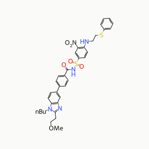 CCCCn1c(CCOC)nc2cc(-c3ccc(C(=O)NS(=O)(=O)c4ccc(NCCSc5ccccc5)c([N+](=O)[O-])c4)cc3)ccc21